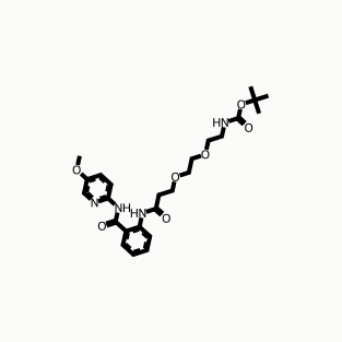 COc1ccc(NC(=O)c2ccccc2NC(=O)CCOCCOCCNC(=O)OC(C)(C)C)nc1